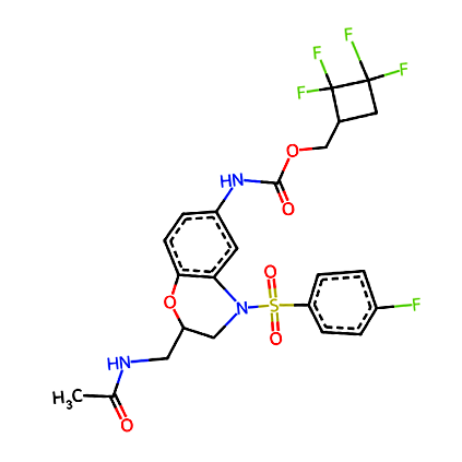 CC(=O)NCC1CN(S(=O)(=O)c2ccc(F)cc2)c2cc(NC(=O)OCC3CC(F)(F)C3(F)F)ccc2O1